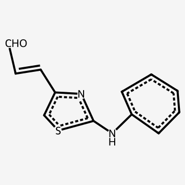 O=C/C=C/c1csc(Nc2ccccc2)n1